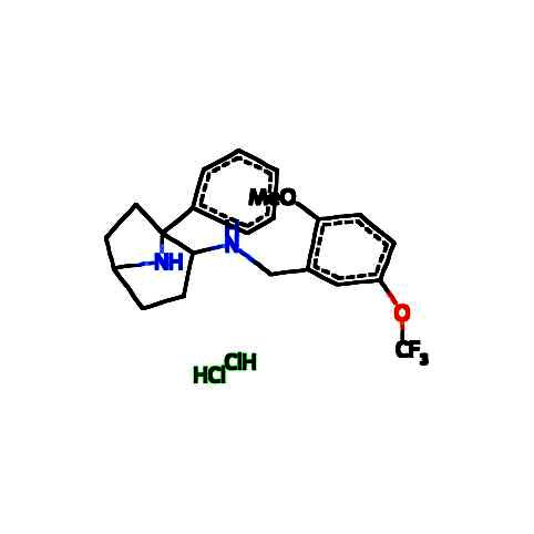 COc1ccc(OC(F)(F)F)cc1CNC1CCC2CCC1(c1ccccc1)N2.Cl.Cl